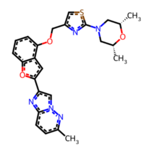 Cc1ccc2nc(-c3cc4c(OCc5csc(N6C[C@@H](C)O[C@@H](C)C6)n5)cccc4o3)cn2n1